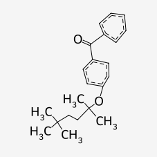 CC(C)(C)CCC(C)(C)Oc1ccc(C(=O)c2ccccc2)cc1